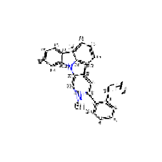 Cc1ccccc1-c1cc2c3cccc4c5ccccc5n(c2c[n+]1C)c43